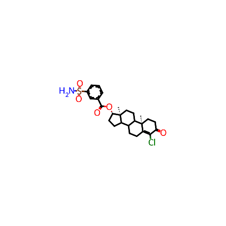 C[C@]12CCC(=O)C(Cl)=C1CCC1C2CC[C@@]2(C)C1CC[C@@H]2OC(=O)c1cccc(S(N)(=O)=O)c1